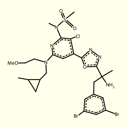 COCCN(CC1CC1C)c1cc(-c2nnc(C(C)(N)Cc3cc(Br)cc(Br)c3)o2)c(Cl)c(N(C)S(C)(=O)=O)n1